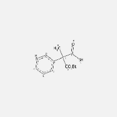 CCOC(=O)C(C)(C(=O)S)c1cccnc1